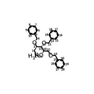 NC[C@@H](OCc1ccccc1)[C@H](OCc1ccccc1)[C@H](O)COCc1ccccc1